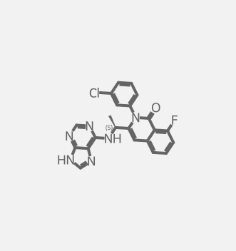 C[C@H](Nc1ncnc2[nH]cnc12)c1cc2cccc(F)c2c(=O)n1-c1cccc(Cl)c1